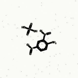 Nc1ccc([N+](=O)[O-])cc1[N+](=O)[O-].O=S(=O)(O)O